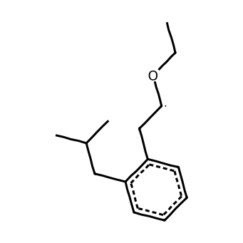 CCO[CH]Cc1ccccc1CC(C)C